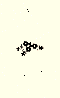 CC(=C(c1ccc(OC(=O)C(C)(C)C)cc1)c1ccc(OC(=O)C(C)(C)C)cc1)c1cccc(NC(=O)OC(C)(C)C)c1